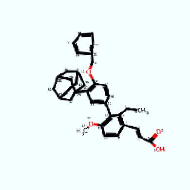 CCc1c(C=CC(=O)O)ccc(OC)c1-c1ccc(OCc2ccccc2)c(C23CC4CC(CC(C4)C2)C3)c1